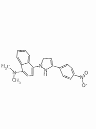 CN(C)c1ccc(N2CC=C(c3ccc([N+](=O)[O-])cc3)N2)c2ccccc12